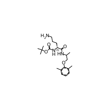 Cc1cccc(C)c1OCC(C)NC(=O)[C@H](CCCN)NC(=O)OC(C)(C)C